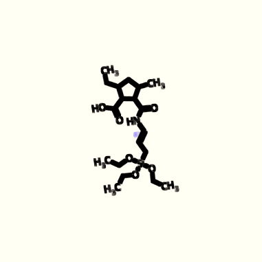 CCO[Si](C/C=C/NC(=O)C1C(C)CC(CC)C1C(=O)O)(OCC)OCC